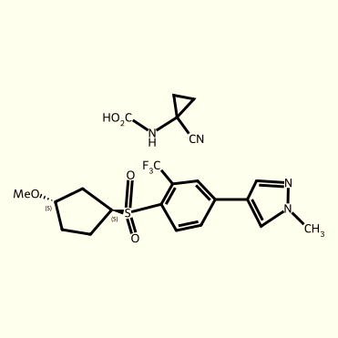 CO[C@H]1CC[C@H](S(=O)(=O)c2ccc(-c3cnn(C)c3)cc2C(F)(F)F)C1.N#CC1(NC(=O)O)CC1